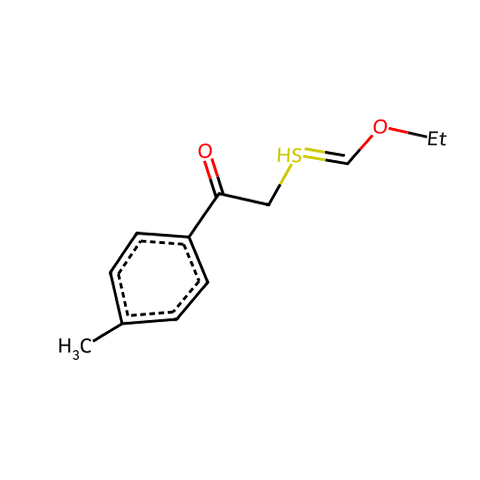 CCOC=[SH]CC(=O)c1ccc(C)cc1